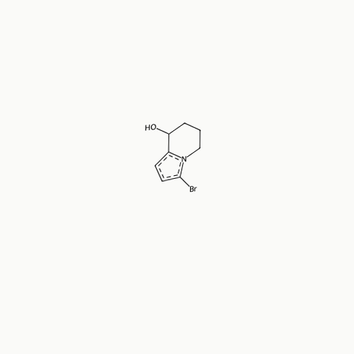 OC1CCCn2c(Br)ccc21